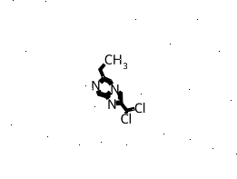 CCc1cn2cc(C(Cl)Cl)nc2cn1